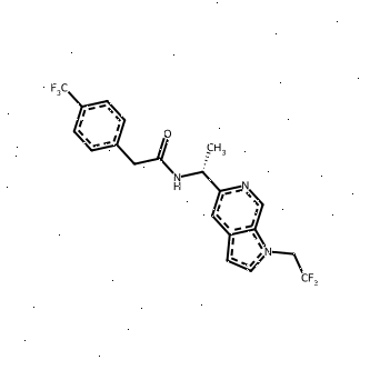 C[C@@H](NC(=O)Cc1ccc(C(F)(F)F)cc1)c1cc2ccn(CC(F)(F)F)c2cn1